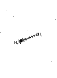 CCCCCCCCCCCCNCCCNCCN